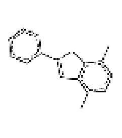 Cc1ccc(C)c2c1C=C(c1ccccc1)C2